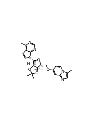 Cc1ncnc2c1ccn2[C@@H]1O[C@H](COc2ccn3c(C)cnc3c2)[C@@]2(C)OC(C)(C)O[C@@H]12